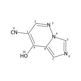 [C-]#[N+]c1cnn2cncc2c1O